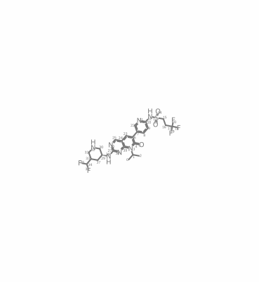 CC(C)n1c(=O)c(-c2ccc(NS(=O)(=O)CCC(F)(F)F)nc2)cc2cnc(N[C@@H]3CNCC(C(F)F)C3)nc21